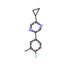 Cc1cc(-c2cnc(C3CC3)cn2)ccc1F